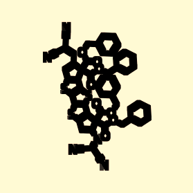 N#CC(C#N)=CC1=Cc2sc3c(sc4c5c(sc43)C=C(N=C(C#N)C#N)C5(C(=O)OCc3ccccc3)C(=O)OCc3ccccc3)c2C1(C(=O)OCc1ccccc1)C(=O)OCc1ccccc1